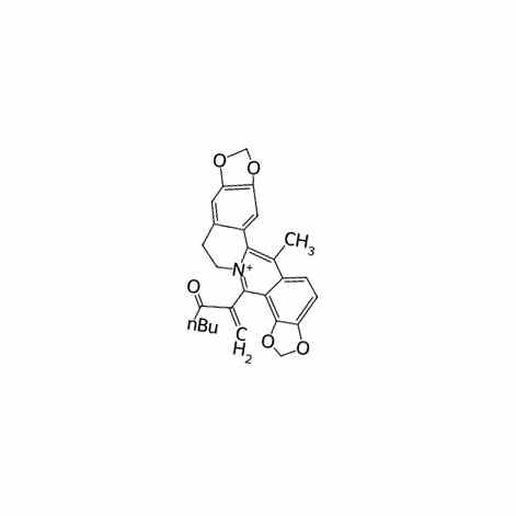 C=C(C(=O)CCCC)c1c2c3c(ccc2c(C)c2[n+]1CCc1cc4c(cc1-2)OCO4)OCO3